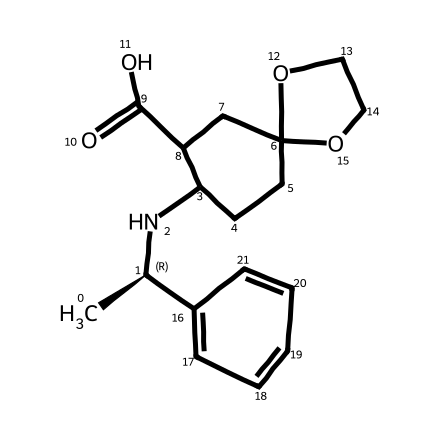 C[C@@H](NC1CCC2(CC1C(=O)O)OCCO2)c1ccccc1